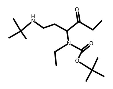 CCC(=O)C(CCNC(C)(C)C)N(CC)C(=O)OC(C)(C)C